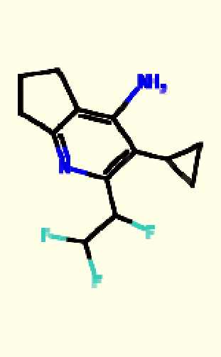 Nc1c2c(nc(C(F)C(F)F)c1C1CC1)CCC2